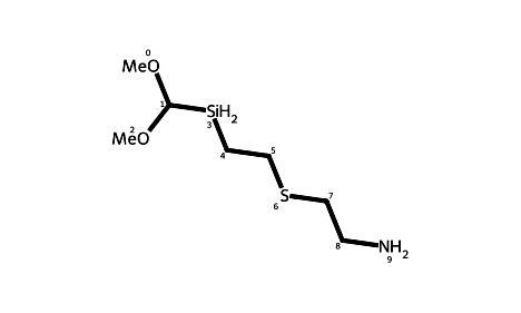 COC(OC)[SiH2]CCSCCN